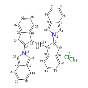 C1=C(n2cc3ccccc3c2)[CH]([Hf+2][CH]2C(n3cc4ccccc4c3)=Cc3ccccc32)c2ccccc21.[Cl-].[Cl-]